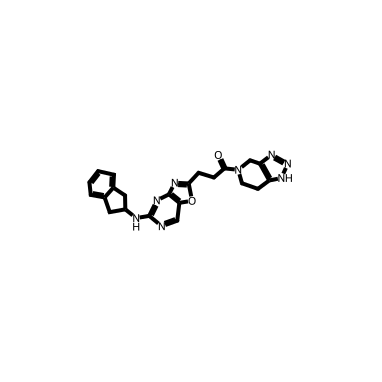 O=C(CCc1nc2nc(NC3Cc4ccccc4C3)ncc2o1)N1CCc2[nH]nnc2C1